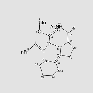 CCCC=CN(C(=O)OC(C)(C)C)C1C(=C2SCCCS2)CCC1C(C)NC(C)=O